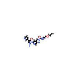 CCCCOCCCNC(=O)NCc1ccnc(-n2[nH]cc(-c3cccnc3)c2=O)c1